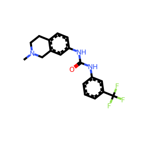 CN1CCc2ccc(NC(=O)Nc3cccc(C(F)(F)F)c3)cc2C1